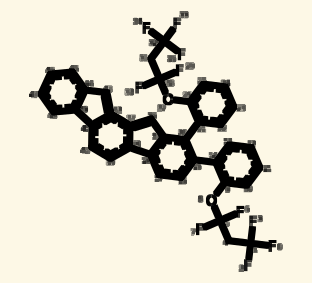 FC(F)(F)CC(F)(F)Oc1ccccc1-c1ccc2c(c1-c1ccccc1OC(F)(F)CC(F)(F)F)C=c1c-2ccc2c1=Cc1ccccc1-2